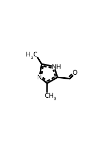 Cc1nc(C)c(C=O)[nH]1